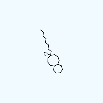 CCCCCCCCC1(Cl)CCCC2CCCCCC2CCC1